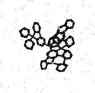 c1ccc(C2(c3ccccc3)c3ccccc3-c3cc(N(c4ccc5c(c4)sc4ccccc45)c4cc5c6ccccc6n6c5c5c4C4(c7ccccc7-c7ccccc74)c4cccc(c4-5)-c4ccccc4-6)ccc32)cc1